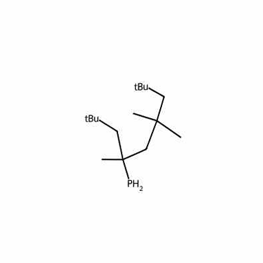 CC(C)(C)CC(C)(C)CC(C)(P)CC(C)(C)C